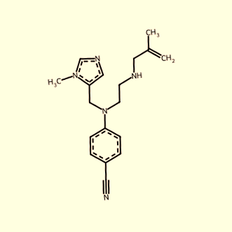 C=C(C)CNCCN(Cc1cncn1C)c1ccc(C#N)cc1